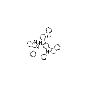 c1ccc(-c2nc(-n3c4cc5c(cc4c4c6oc7ccccc7c6ccc43)c3c4ccccc4ccc3n5-c3ccccc3)nc3ccccc23)cc1